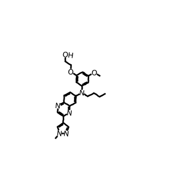 CCCCN(c1cc(OC)cc(OCCO)c1)c1ccc2ncc(-c3cnn(C)c3)nc2c1